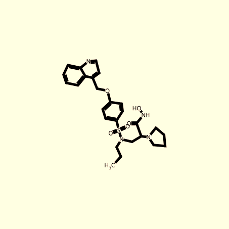 CCCN(CC(C(=O)NO)N1CCCC1)S(=O)(=O)c1ccc(OCc2ccnc3ccccc23)cc1